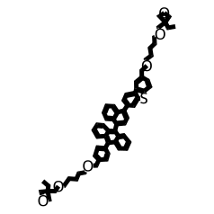 CCC1(COCCCCCOCc2ccc(-c3c4ccccc4c(-c4ccc(-c5ccc6c(c5)sc5ccc(COCCCCCOCC7(CC)COC7)cc56)c5ccccc45)c4ccccc34)cc2)COC1